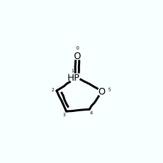 O=[PH]1C=CCO1